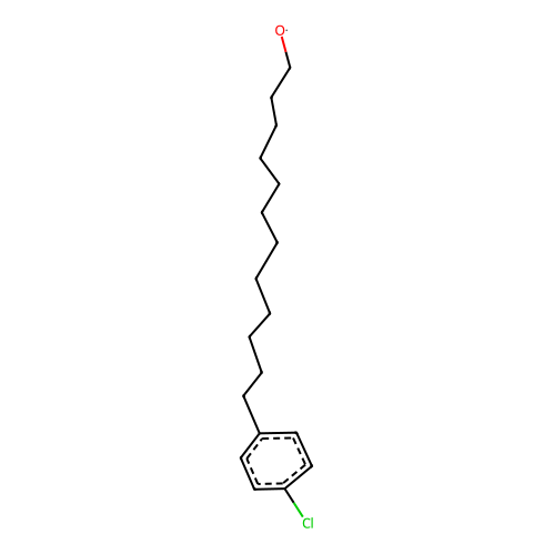 [O]CCCCCCCCCCCCc1ccc(Cl)cc1